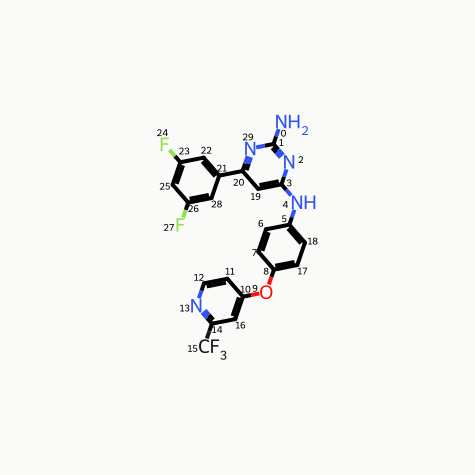 Nc1nc(Nc2ccc(Oc3ccnc(C(F)(F)F)c3)cc2)cc(-c2cc(F)cc(F)c2)n1